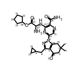 CC1(C)CC(=O)c2c(CC3CC3)nn(-c3cnc(C(N)=O)c(NC(N)C(=O)OC4CCCC4)n3)c2C1